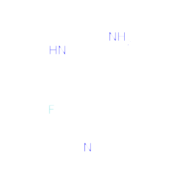 N=C(N)c1cccnc1F